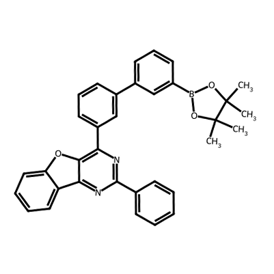 CC1(C)OB(c2cccc(-c3cccc(-c4nc(-c5ccccc5)nc5c4oc4ccccc45)c3)c2)OC1(C)C